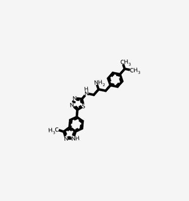 Cc1n[nH]c2ccc(-c3nnc(NCC(N)Cc4ccc(C(C)C)cc4)s3)cc12